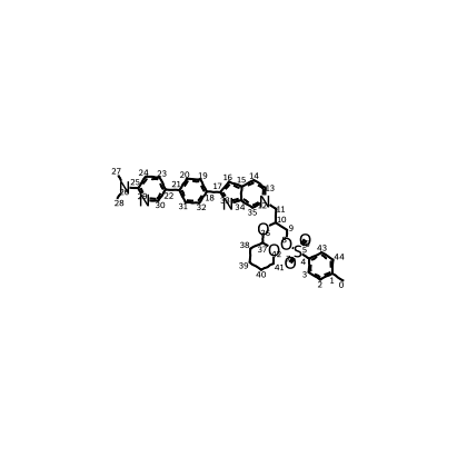 Cc1ccc(S(=O)(=O)OCC(Cn2ccc3cc(-c4ccc(-c5ccc(N(C)C)nc5)cc4)nc-3c2)OC2CCCCO2)cc1